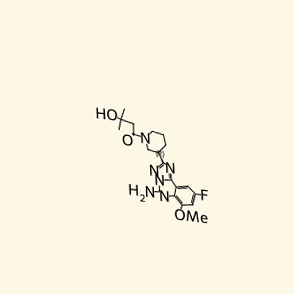 COc1cc(F)cc2c1nc(N)n1nc([C@@H]3CCCN(C(=O)CC(C)(C)O)C3)nc21